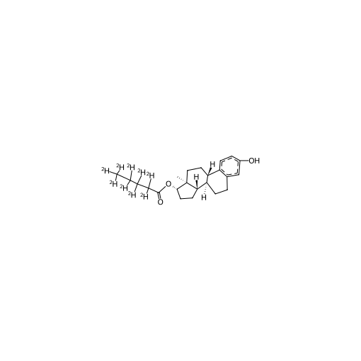 [2H]C([2H])([2H])C([2H])([2H])C([2H])([2H])C([2H])([2H])C(=O)O[C@H]1CC[C@H]2[C@@H]3CCc4cc(O)ccc4[C@H]3CC[C@]12C